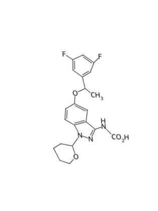 CC(Oc1ccc2c(c1)c(NC(=O)O)nn2C1CCCCO1)c1cc(F)cc(F)c1